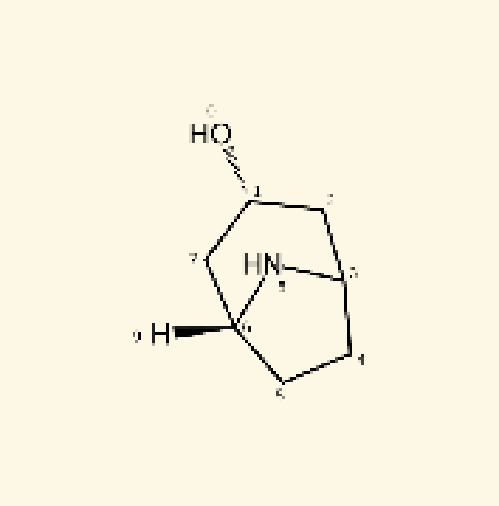 O[C@@H]1CC2CC[C@H](C1)N2